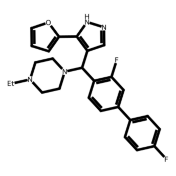 CCN1CCN(C(c2ccc(-c3ccc(F)cc3)cc2F)c2cn[nH]c2-c2ccco2)CC1